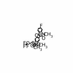 CNC(=O)c1c(-c2ccc(F)cc2)oc2cc(N(CCOC(F)(F)F)S(C)(=O)=O)c(OC)cc12